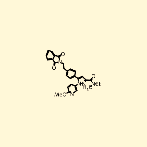 CCN(C)C(=O)c1cc(-c2ccc(CCN3C(=O)c4ccccc4C3=O)cc2)n(-c2ccc(OC)nc2)n1